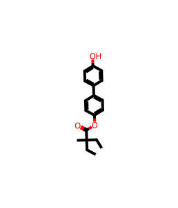 CCC(C)(CC)C(=O)Oc1ccc(-c2ccc(O)cc2)cc1